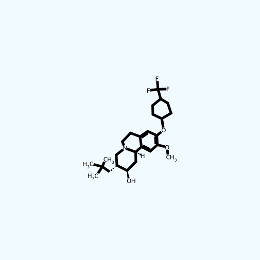 COc1cc2c(cc1OC1CCC(C(F)(F)F)CC1)CCN1C[C@@H](CC(C)(C)C)[C@H](O)C[C@H]21